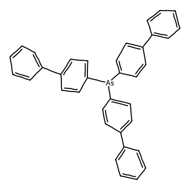 c1ccc(-c2ccc([As](c3ccc(-c4ccccc4)cc3)c3ccc(-c4ccccc4)cc3)cc2)cc1